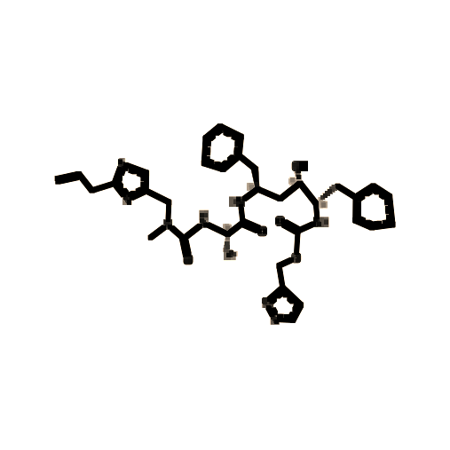 C=CCc1nc(CN(C)C(=O)N[C@H](C(=O)N[C@@H](Cc2ccccc2)C[C@H](O)[C@H](Cc2ccccc2)NC(=O)OCc2ccns2)C(C)C)cs1